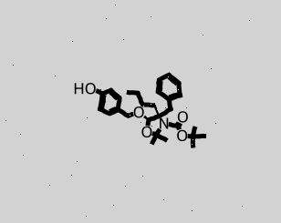 CCCC[C@]1(Cc2ccccc2)[C@H](OCc2ccc(O)cc2)OC(C)(C)N1C(=O)OC(C)(C)C